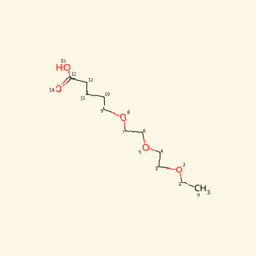 CCOCCOCCOCCCCC(=O)O